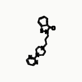 O=c1c2ccccc2sn1CCCN1CCN(c2ncccn2)CC1